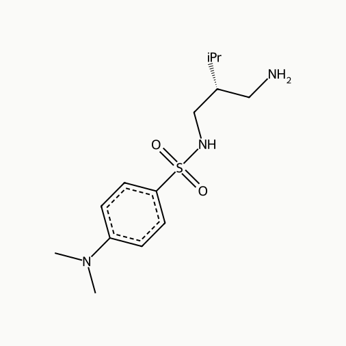 CC(C)[C@H](CN)CNS(=O)(=O)c1ccc(N(C)C)cc1